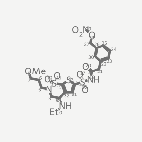 CCN[C@H]1CN(CCCOC)S(=O)(=O)c2sc(S(=O)(=O)NC(=O)Cc3cccc(CO[N+](=O)[O-])c3)cc21